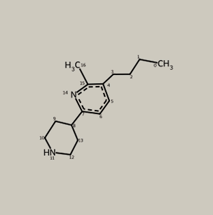 CCCCc1ccc(C2CCNCC2)nc1C